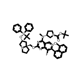 CN(c1nc(OC[C@@]23CCCN2C[C@H](O[Si](c2ccccc2)(c2ccccc2)C(C)(C)C)C3)nc2c(F)c(-c3cccc4cccc(Cl)c34)ncc12)[C@@H]1CCN(C(=O)OC(C)(C)C)C1